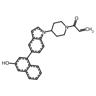 C=CC(=O)N1CCC(n2ccc3cc(-c4cc(O)cc5ccccc45)ccc32)CC1